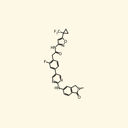 CN1Cc2cc(Nc3ncc(-c4ccc(CC(=O)Nc5cc(C6(C(F)(F)F)CC6)on5)c(F)c4)cn3)ccc2C1=O